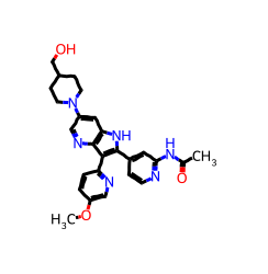 COc1ccc(-c2c(-c3ccnc(NC(C)=O)c3)[nH]c3cc(N4CCC(CO)CC4)cnc23)nc1